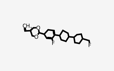 C=CC1COC(C2C=C(F)C(C3CCC(C4CCC(CF)CC4)CC3)=CC2)OC1